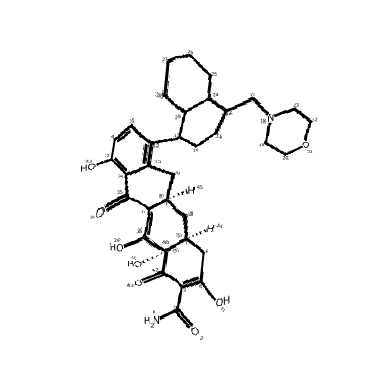 NC(=O)C1=C(O)C[C@@H]2C[C@@H]3Cc4c(C5CCC(CN6CCOCC6)C6CCCCC56)ccc(O)c4C(=O)C3=C(O)[C@]2(O)C1=O